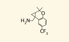 CC1(C)Oc2ccc(C(F)(F)F)cc2C2(CN)CC12